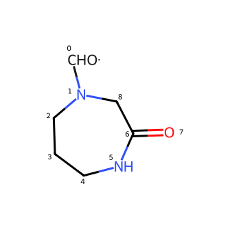 O=[C]N1CCCNC(=O)C1